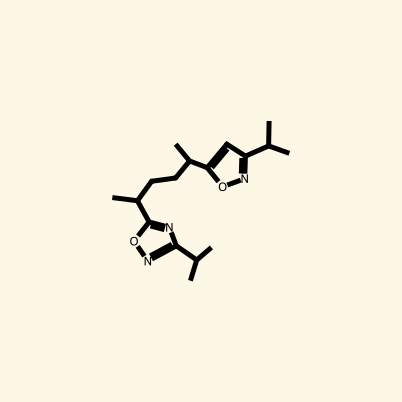 CC(C)c1cc(C(C)CCC(C)c2nc(C(C)C)no2)on1